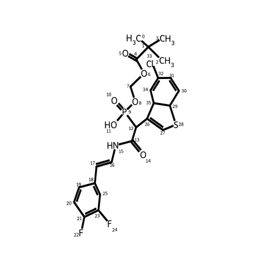 CC(C)(C)C(=O)OCOP(=O)(O)C(C(=O)N/C=C/c1ccc(F)c(F)c1)C1=CSC2C=CC(Cl)=CC12